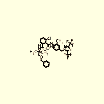 Cc1cc(Cn2nc(C(F)(F)F)nc2C(F)(F)F)ccc1NC(=O)c1c(Cl)cccc1C(=O)NC(C)(C)COCc1ccccc1